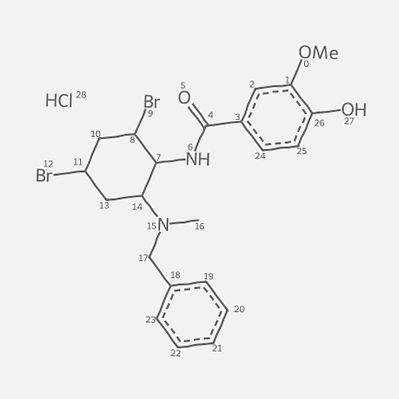 COc1cc(C(=O)NC2C(Br)CC(Br)CC2N(C)Cc2ccccc2)ccc1O.Cl